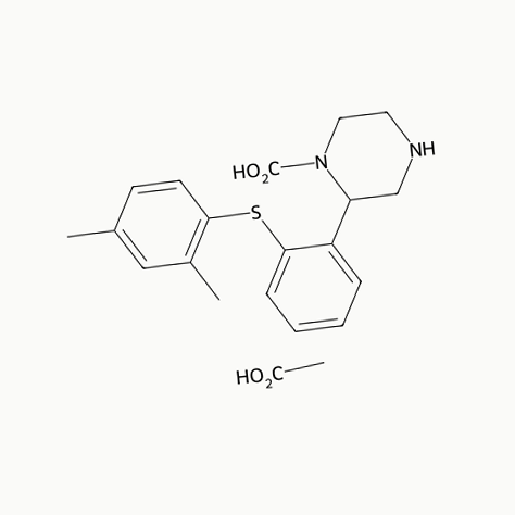 CC(=O)O.Cc1ccc(Sc2ccccc2C2CNCCN2C(=O)O)c(C)c1